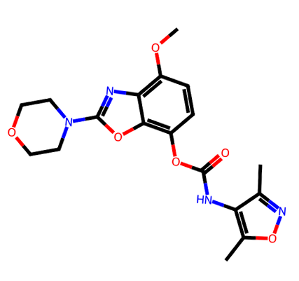 COc1ccc(OC(=O)Nc2c(C)noc2C)c2oc(N3CCOCC3)nc12